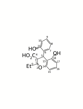 CCC(=O)C(C(=O)O)C(c1ccccc1O)c1ccccc1O